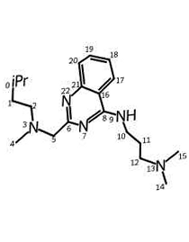 CC(C)CCN(C)Cc1nc(NCCCN(C)C)c2ccccc2n1